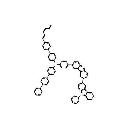 C=C/C=C\C=C\c1ccc(-c2ccc(N(C(=C)/C=C\C(=C)c3ccc4oc5ccc(-c6ccc7c(c6)c6c(n7-c7ccccc7)=CCCC=6)cc5c4c3)c3ccc(-c4ccc(-c5ccccc5)cc4)cc3)cc2)cc1